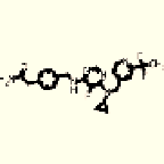 CC(F)(F)c1cc(CN(c2ncnc(NCc3ccc(CC(N)=O)cc3)c2F)C2CC2)ccn1